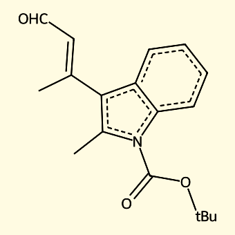 CC(=CC=O)c1c(C)n(C(=O)OC(C)(C)C)c2ccccc12